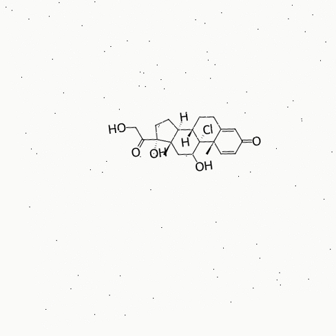 C[C@]12C=CC(=O)C=C1CC[C@H]1[C@@H]3CC[C@](O)(C(=O)CO)[C@@]3(C)CC(O)[C@@]12Cl